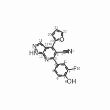 N#Cc1c(-c2ccc(O)c(F)c2)nc2[nH]ncc2c1-c1ccco1